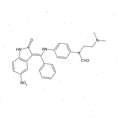 CN(C)CCN(C=O)c1ccc(N/C(=C2\C(=O)Nc3ccc([N+](=O)[O-])cc32)c2ccccc2)cc1